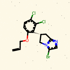 C=CCOc1ccc(Cl)c(Cl)c1[C@@H]1Cc2ncc(Br)n2C1